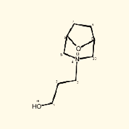 OCCCN1CC2CCC(C1)O2